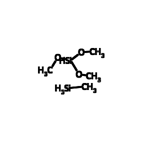 CO[SiH](OC)OC.C[SiH3]